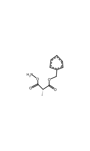 C[C@H](C(=O)ON)C(=O)OCc1ccccc1